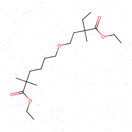 CCOC(=O)C(C)(C)CCCCOCCC(C)(CC)C(=O)OCC